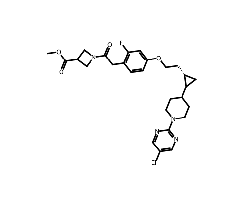 COC(=O)C1CN(C(=O)Cc2ccc(OCC[C@@H]3CC3C3CCN(c4ncc(Cl)cn4)CC3)cc2F)C1